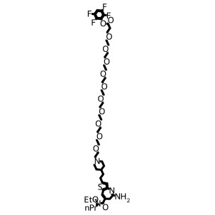 CCCN(OCC)C(=O)C1=Cc2sc(CCC3CCN(CCOCCOCCOCCOCCOCCOCCOCCOCCOCCOCCC(=O)Oc4c(F)c(F)cc(F)c4F)CC3)cc2N=C(N)C1